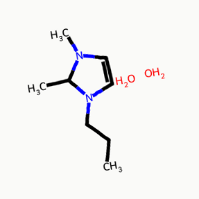 CCCN1C=CN(C)C1C.O.O